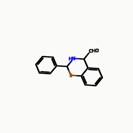 O=CC1NC(c2ccccc2)Sc2ccccc21